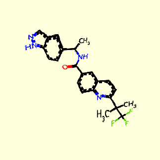 CC(NC(=O)c1ccc2nc(C(C)(C)C(F)(F)F)ccc2c1)c1ccc2[nH]ncc2c1